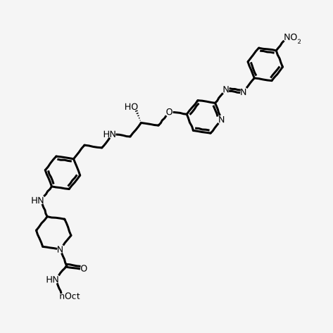 CCCCCCCCNC(=O)N1CCC(Nc2ccc(CCNC[C@H](O)COc3ccnc(N=Nc4ccc([N+](=O)[O-])cc4)c3)cc2)CC1